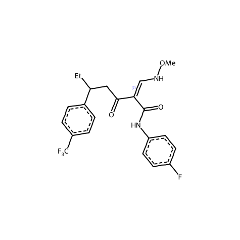 CCC(CC(=O)/C(=C/NOC)C(=O)Nc1ccc(F)cc1)c1ccc(C(F)(F)F)cc1